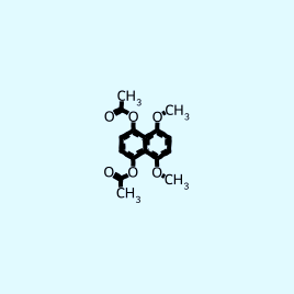 COc1ccc(OC)c2c(OC(C)=O)ccc(OC(C)=O)c12